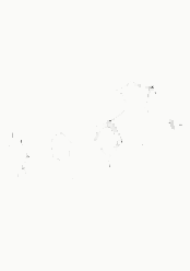 CC(C)C(n1ncnc1-c1cc2c(s1)-c1ccc(C(N)=O)cc1OCC2)C(F)(F)F